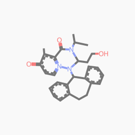 Cc1c2n(ccc1=O)N(C1c3ccccc3CCc3ccccc31)C(CCO)N(C(C)C)C2=O